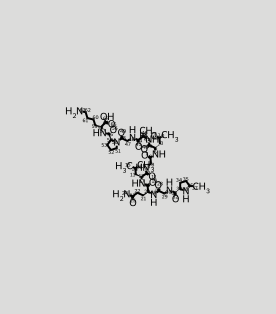 CC(C)C[C@H](NC(=O)CNC(=O)[C@H](CC(C)C)NC(=O)[C@H](CCC(N)=O)NC(=O)CNC(=O)[C@@H]1CCC(C)N1)C(=O)N[C@@H](C)C(=O)NCC(=O)N1CCC[C@H]1C(=O)N[C@@H](CCCCN)C(=O)O